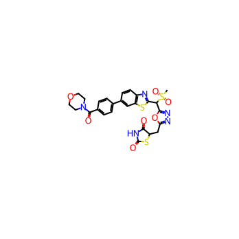 CS(=O)(=O)C(c1nnc(CC2SC(=O)NC2=O)o1)c1nc2ccc(-c3ccc(C(=O)N4CCOCC4)cc3)cc2s1